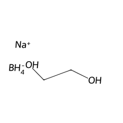 OCCO.[BH4-].[Na+]